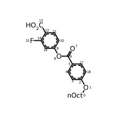 CCCCCCCCOc1ccc(C(=O)Oc2ccc(C(=O)O)c(F)c2)cc1